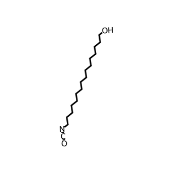 O=C=NCCCCCCCCCCCCCCCCO